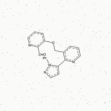 CC(C)n1nccc1-c1ncccc1COc1cccnc1C=O